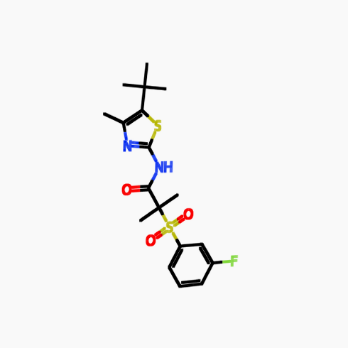 Cc1nc(NC(=O)C(C)(C)S(=O)(=O)c2cccc(F)c2)sc1C(C)(C)C